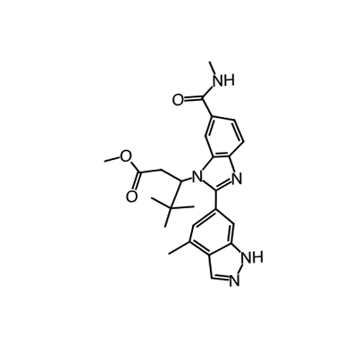 CNC(=O)c1ccc2nc(-c3cc(C)c4cn[nH]c4c3)n(C(CC(=O)OC)C(C)(C)C)c2c1